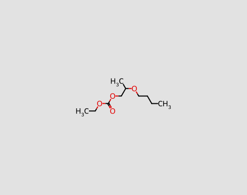 CCCCOC(C)COC(=O)OCC